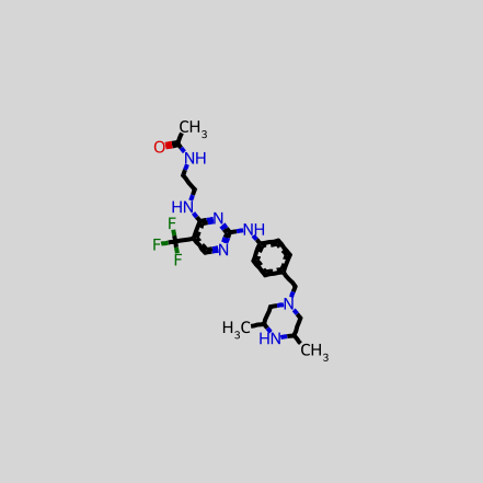 CC(=O)NCCNc1nc(Nc2ccc(CN3CC(C)NC(C)C3)cc2)ncc1C(F)(F)F